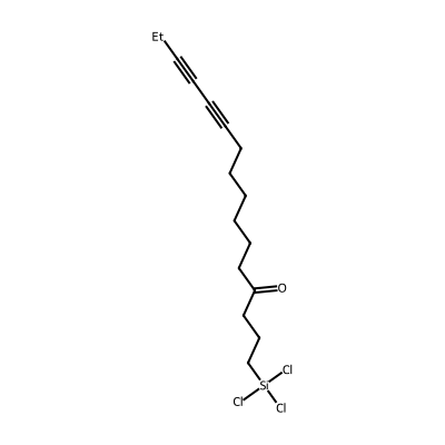 CCC#CC#CCCCCCCC(=O)CCC[Si](Cl)(Cl)Cl